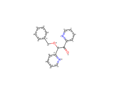 O=C(c1ccccn1)C(OCc1ccccc1)c1ccccn1